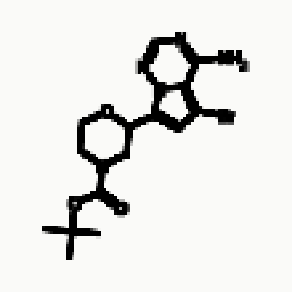 CC(C)(C)OC(=O)N1CCOC(c2cc(Br)c3c(N)ncnn23)C1